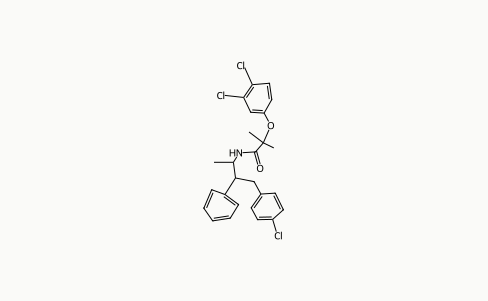 CC(NC(=O)C(C)(C)Oc1ccc(Cl)c(Cl)c1)C(Cc1ccc(Cl)cc1)c1ccccc1